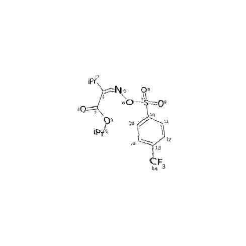 CC(C)OC(=O)C(=NOS(=O)(=O)c1ccc(C(F)(F)F)cc1)C(C)C